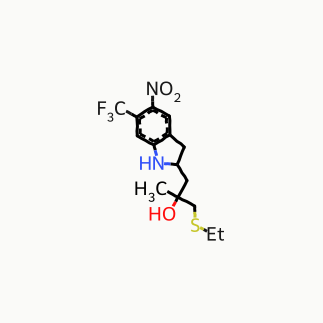 CCSCC(C)(O)CC1Cc2cc([N+](=O)[O-])c(C(F)(F)F)cc2N1